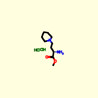 COC(=O)[C@@H](N)CCN1CCCCC1.Cl.Cl